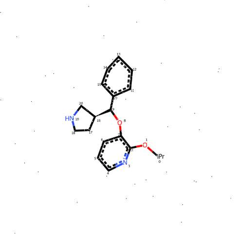 CC(C)Oc1ncccc1OC(c1ccccc1)[C@H]1CCNC1